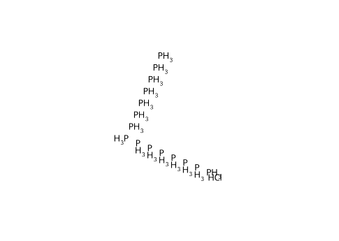 Cl.P.P.P.P.P.P.P.P.P.P.P.P.P.P.P